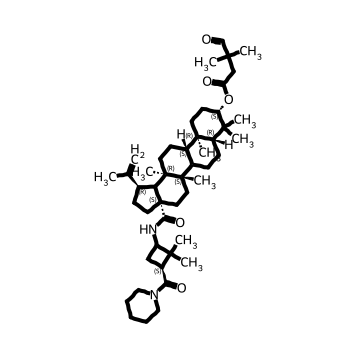 C=C(C)[C@@H]1CC[C@]2(C(=O)NC3C[C@H](C(=O)N4CCCCC4)C3(C)C)CC[C@@]3(C)C4CC[C@H]5C(C)(C)[C@@H](OC(=O)CC(C)(C)C=O)CC[C@]5(C)[C@H]4CC[C@]3(C)C12